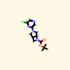 CC(C)(C)OC(=O)N1CC2CN(c3cncc(Cl)n3)CC21